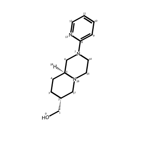 OC[C@@H]1CC[C@H]2CN(c3ccccn3)CCN2C1